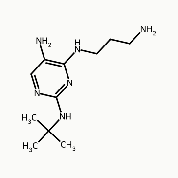 CC(C)(C)Nc1ncc(N)c(NCCCN)n1